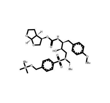 CCCCOc1ccc(C[C@H](NC(=O)O[C@H]2CO[C@H]3OCC[C@H]32)[C@H](O)CN(C[C@@H](C)CC)S(=O)(=O)c2ccc(CO[Si](C)(C)C(C)(C)C)cc2)cc1